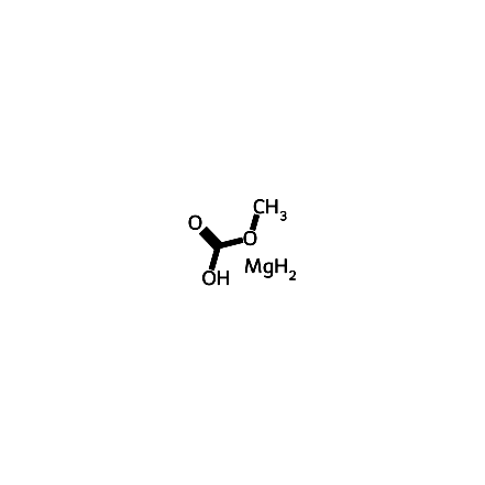 COC(=O)O.[MgH2]